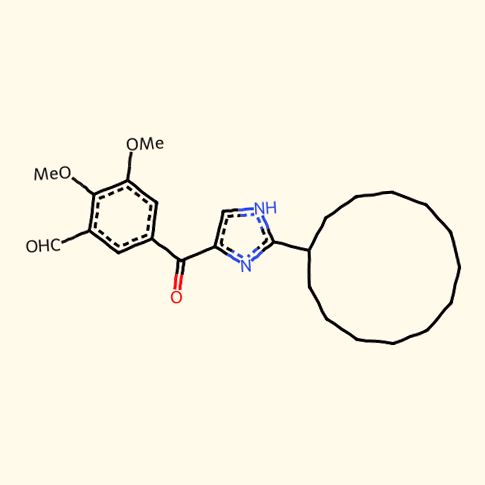 COc1cc(C(=O)c2c[nH]c(C3CCCCCCCCCCCC3)n2)cc(C=O)c1OC